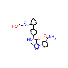 NC(=O)c1cccc(-n2cnc3c2C(=O)C(c2ccc(-c4ccccc4CNCCO)cc2)NC3)c1